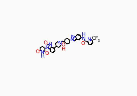 Cn1c(=O)n(C2CCC(=O)NC2=O)c2cccc(C3CCN(C[C@]4(O)CC[C@@H](n5cc6cc(NC(=O)c7cccc(C(F)(F)F)n7)ccc6n5)CC4)CC3)c21